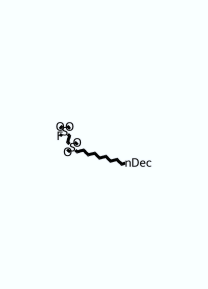 CCCCCCCCCCCCCCCCCCCS(=O)(=O)CCS(=O)(=O)F